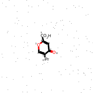 CC(C)c1coc(C(=O)O)cc1=O